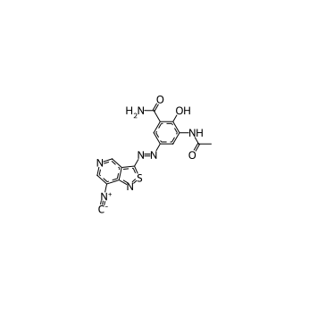 [C-]#[N+]c1cncc2c(/N=N/c3cc(NC(C)=O)c(O)c(C(N)=O)c3)snc12